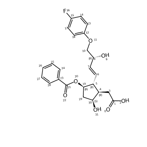 O=C(O)C[C@@H]1[C@@H](C=C[C@@H](O)COc2ccc(F)cc2)[C@H](OC(=O)c2ccccc2)C[C@@H]1O